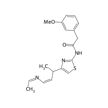 C/C=N\C=C/C(C)c1csc(NC(=O)Cc2cccc(OC)c2)n1